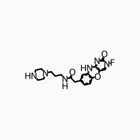 O=C(Cc1ccc2c(c1)Nc1nc(=O)n(F)cc1O2)NCCCN1CCNCC1